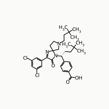 CC(C)(C)CC[C@H](c1ccc(C(=O)O)cc1)N1C(=O)C(c2cc(Cl)cc(Cl)c2)=NC12CCN(CCC(C)(C)C)C2